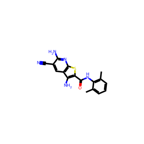 Cc1cccc(C)c1NC(=O)c1sc2nc(N)c(C#N)cc2c1N